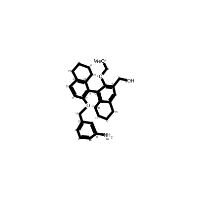 COCOc1c(CO)cc2c(c1-c1c(OCc3cccc(N)c3)ccc3c1CCCC3)CCCC2